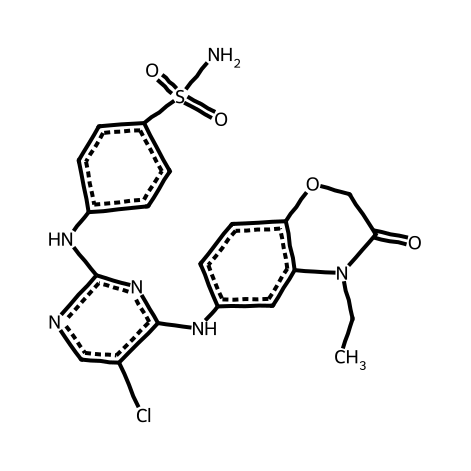 CCN1C(=O)COc2ccc(Nc3nc(Nc4ccc(S(N)(=O)=O)cc4)ncc3Cl)cc21